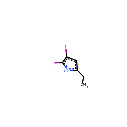 CCc1cc(I)c(I)[nH]1